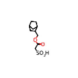 O=C(CS(=O)(=O)O)OCC1CC2CCC1C2